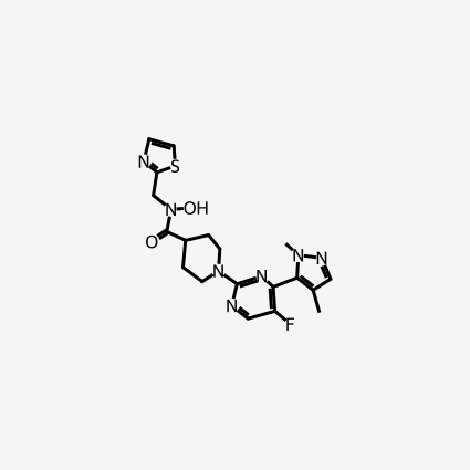 Cc1cnn(C)c1-c1nc(N2CCC(C(=O)N(O)Cc3nccs3)CC2)ncc1F